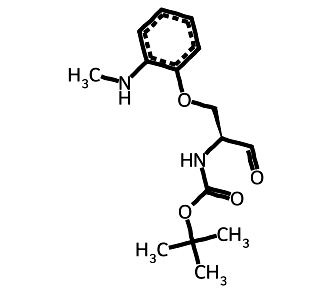 CNc1ccccc1OC[C@@H](C=O)NC(=O)OC(C)(C)C